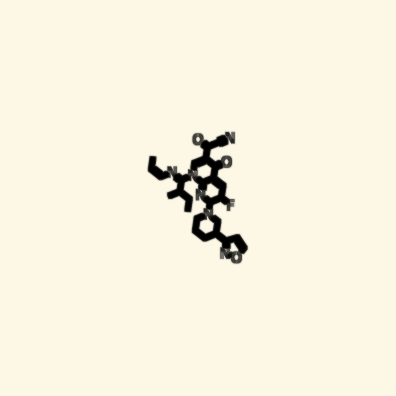 C/C=C\N=C(/C(C)CC)n1cc(C(=O)C#N)c(=O)c2c1=NC(N1CCCC(c3ccon3)C1)C(F)C=2